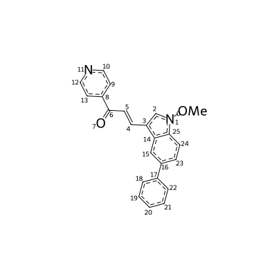 COn1cc(/C=C/C(=O)c2ccncc2)c2cc(-c3ccccc3)ccc21